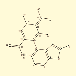 CC1=Cc2c(cccc2C2=C(C)C(=[Si](C)C)C(C)C=C2C([NH])=O)C1